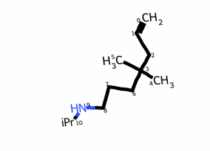 C=CCC(C)(C)CCCNC(C)C